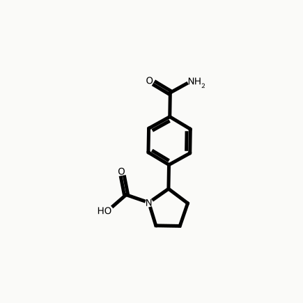 NC(=O)c1ccc(C2CCCN2C(=O)O)cc1